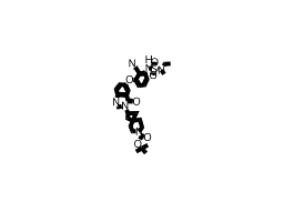 CCN(C)S(=O)(=O)Nc1cccc(Oc2ccc3ncn(C4CC5(CCN(C(=O)OC(C)(C)C)CC5)C4)c(=O)c3c2)c1C#N